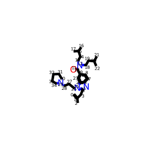 C=C(C)Cc1nc2ccc(C(=O)N(CCC(C)C)CCC(C)C)cc2n1CCCN1CCCCC1